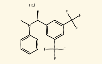 C[C@@H](c1cc(C(F)(F)F)cc(C(F)(F)F)c1)N(C)c1ccccc1.Cl